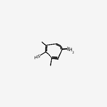 Cc1cc(N)cc(C)c1S